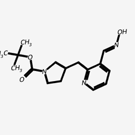 CC(C)(C)OC(=O)N1CCC(Cc2ncccc2/C=N/O)C1